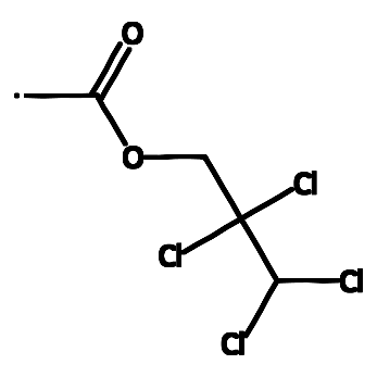 [CH2]C(=O)OCC(Cl)(Cl)C(Cl)Cl